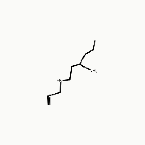 C=CCNCCC(N)CCC